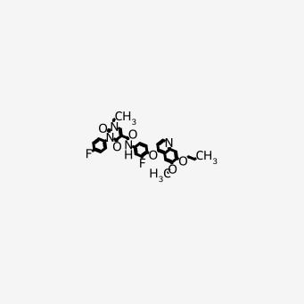 CCCOc1cc2nccc(Oc3ccc(NC(=O)c4cn(CC)c(=O)n(-c5ccc(F)cc5)c4=O)cc3F)c2cc1OC